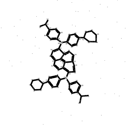 CC(C)c1ccc(N(c2ccc(C3CCCCC3)cc2)c2ccc3ccc4c(N(c5ccc(C(C)C)cc5)c5ccc(C6CCCCC6)cc5)ccc5ccc2c3c54)cc1